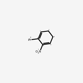 CC(C)C1=CCCC=C1[N+](=O)[O-]